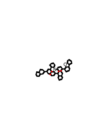 c1cc(-c2ccc3ccccc3c2)cc(-c2ccccc2N(c2ccc(-c3cccc4c3oc3ccccc34)cc2)c2ccccc2-c2cccc3ccccc23)c1